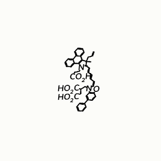 C=CCC1(C)C(/C=C/C=C/C=C2/Oc3ccc(-c4ccccc4)cc3N2CC(CC(=O)O)C(=O)O)=[N+](CCC(=O)O)c2c1c1ccccc1c1ccccc21